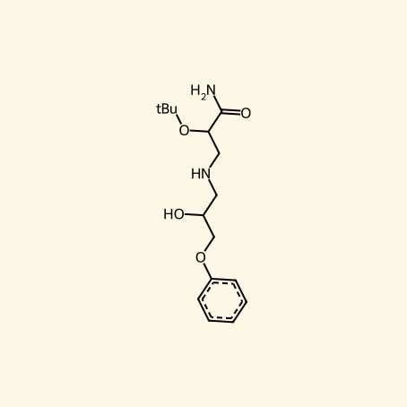 CC(C)(C)OC(CNCC(O)COc1ccccc1)C(N)=O